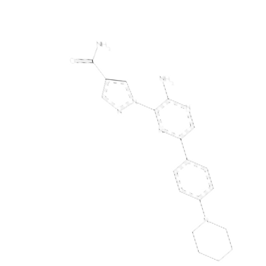 NC(=O)c1cnn(-c2nc(-c3ccc(N4CCCCC4)cc3)cnc2N)c1